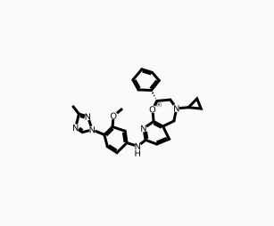 COc1cc(Nc2ccc3c(n2)O[C@H](c2ccccc2)CN(C2CC2)C3)ccc1-n1cnc(C)n1